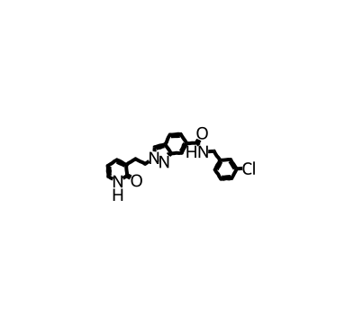 O=C(NCc1cccc(Cl)c1)c1ccc2cn(CCc3ccc[nH]c3=O)nc2c1